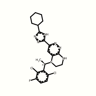 C[C@H](c1c(Cl)ccc(F)c1Cl)N1CCNc2nnc(-c3nnc(C4CCCCC4)[nH]3)cc21